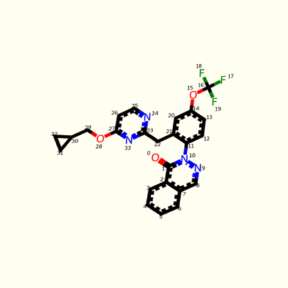 O=c1c2ccccc2cnn1-c1ccc(OC(F)(F)F)cc1Cc1nccc(OCC2CC2)n1